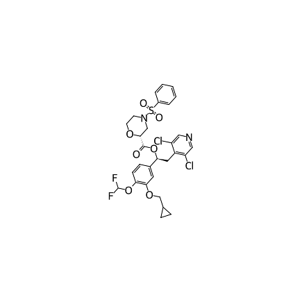 O=C(O[C@@H](Cc1c(Cl)cncc1Cl)c1ccc(OC(F)F)c(OCC2CC2)c1)[C@H]1CN(S(=O)(=O)c2ccccc2)CCO1